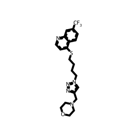 FC(F)(F)c1ccc2c(SCCCCn3cc(CN4CCOCC4)nn3)ccnc2c1